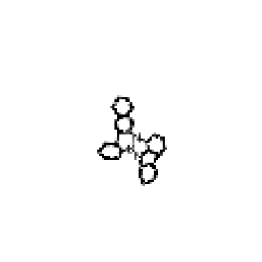 c1ccc2c(c1)B1N(c3cc4ccccc4cc3-2)c2cccc3c4ccccc4n1c23